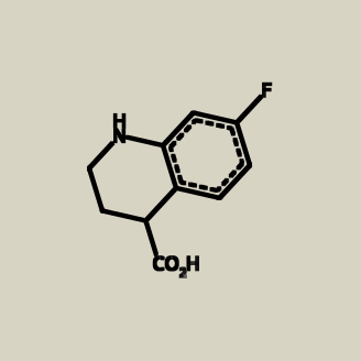 O=C(O)C1CCNc2cc(F)ccc21